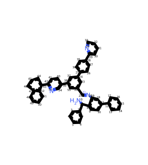 NC(c1ccccc1)c1ccc(-c2ccccc2)cc1/N=C/c1cc(-c2ccc(-c3ccccn3)cc2)cc(-c2ccc(-c3cccc4ccccc34)nc2)c1